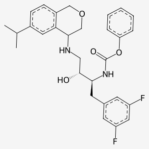 CC(C)c1ccc2c(c1)C(NC[C@@H](O)[C@H](Cc1cc(F)cc(F)c1)NC(=O)Oc1ccccc1)COC2